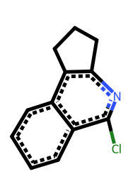 Clc1nc2c(c3ccccc13)CCC2